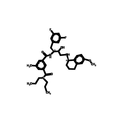 CCCN(CCC)C(=O)c1cc(C)cc(C(=O)N[C@@H](Cc2cc(F)cc(F)c2)C(O)CN[C@@H]2CCCc3cc(OC)ccc32)c1